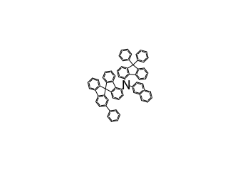 c1ccc(-c2ccc3c(c2)C2(c4ccccc4-3)c3ccccc3-c3c(N(c4ccc5ccccc5c4)c4cccc5c4-c4ccccc4C5(c4ccccc4)c4ccccc4)cccc32)cc1